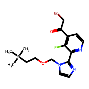 C[Si](C)(C)CCOCn1ccnc1-c1nccc(C(=O)CBr)c1F